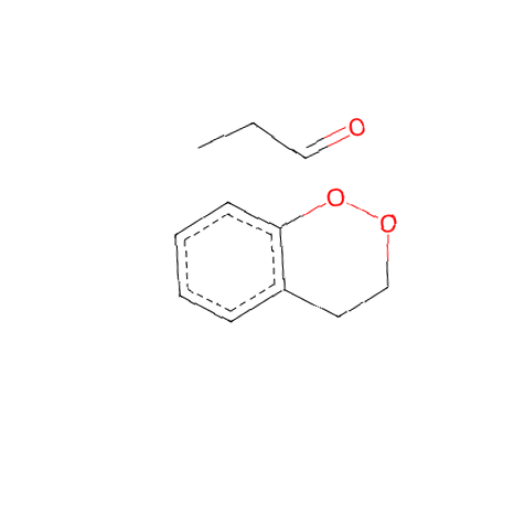 CCC=O.c1ccc2c(c1)CCOO2